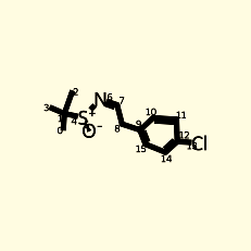 CC(C)(C)[S@+]([O-])/N=C\Cc1ccc(Cl)cc1